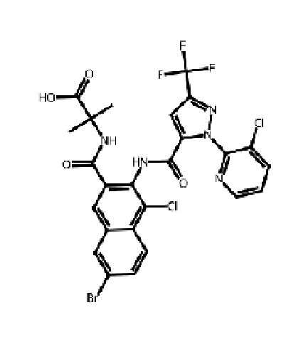 CC(C)(NC(=O)c1cc2cc(Br)ccc2c(Cl)c1NC(=O)c1cc(C(F)(F)F)nn1-c1ncccc1Cl)C(=O)O